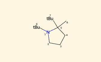 CC(C)(C)N1CCCC1(C)C(C)(C)C